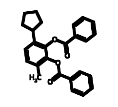 Cc1ccc(C2CCCC2)c(OC(=O)c2ccccc2)c1OC(=O)c1ccccc1